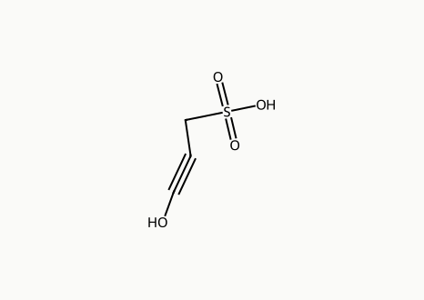 O=S(=O)(O)CC#CO